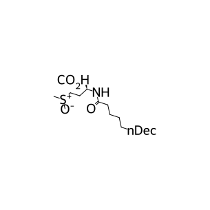 CCCCCCCCCCCCCCC(=O)N[C@@H](CC[S+](C)[O-])C(=O)O